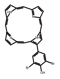 Oc1c(Br)cc(-c2cc3cc4nc(cc5ccc(cc6nc(cc2[nH]3)C=C6)[nH]5)C=C4)cc1Br